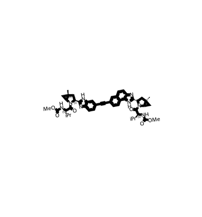 COC(=O)N[C@H](C(=O)N1C2C[C@]2(C)C[C@H]1c1nc2ccc(C#Cc3ccc4c(ccc5nc([C@@H]6C[C@@]7(C)CC7N6C(=O)[C@@H](NC(=O)OC)C(C)C)[nH]c54)c3)cc2[nH]1)C(C)C